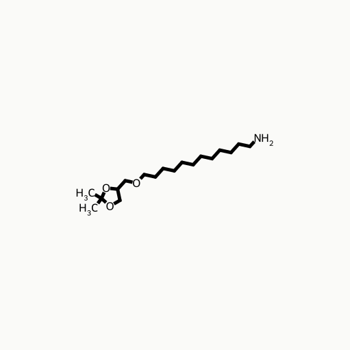 CC1(C)OCC(COCCCCCCCCCCCCN)O1